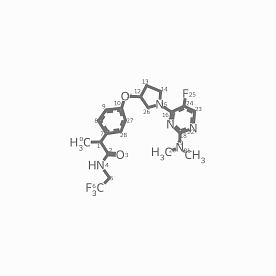 CC(C(=O)NCC(F)(F)F)c1ccc(OC2CCN(c3nc(N(C)C)ncc3F)C2)cc1